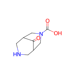 O=C1C2CNCC1CN(C(=O)O)C2